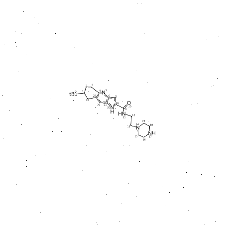 CC(C)(C)C1CCc2nc3cc(C(=O)NCCN4CCNCC4)[nH]c3cc2C1